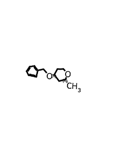 C[C@@H]1C[C@H](OCc2ccccc2)CCO1